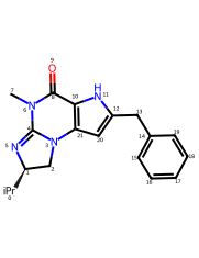 CC(C)[C@@H]1CN2C(=N1)N(C)C(=O)c1[nH]c(Cc3ccccc3)cc12